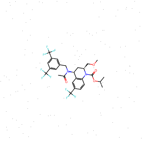 COC[C@@H]1C[C@H](N(Cc2cc(C(F)(F)F)cc(C(F)(F)F)c2)C(C)=O)c2cc(C(F)(F)F)ccc2N1C(=O)OC(C)C